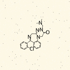 CN(C)CN1N=C2CN=C(c3ccccc3Cl)c3ccccc3N2CC1=O